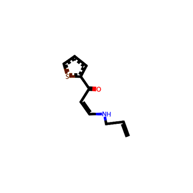 C=CCN/C=C\C(=O)c1cccs1